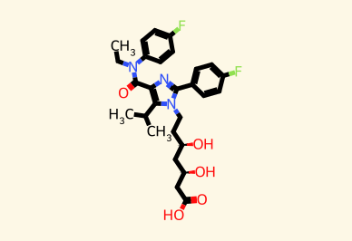 CCN(C(=O)c1nc(-c2ccc(F)cc2)n(CC[C@@H](O)C[C@@H](O)CC(=O)O)c1C(C)C)c1ccc(F)cc1